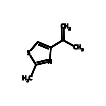 C=C(C)c1csc(C)n1